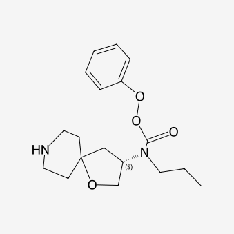 CCCN(C(=O)OOc1ccccc1)[C@@H]1COC2(CCNCC2)C1